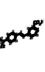 CCN(CC)c1ccc(C=Cc2ccnc(C(=O)O)c2)cc1